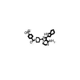 Nc1nccn2c(C3CCN(C(=O)c4ccc([N+](=O)[O-])cc4)CC3)nc(-c3cc4ccccc4[nH]3)c12